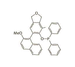 COc1ccc2ccccc2c1-c1cc2c(c(C)c1OP(c1ccccc1)c1ccccc1)COC2